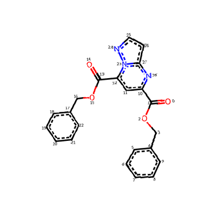 O=C(OCc1ccccc1)c1cc(C(=O)OCc2ccccc2)n2nccc2n1